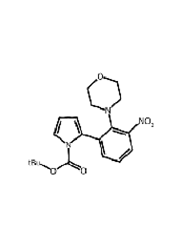 CC(C)(C)OC(=O)n1cccc1-c1cccc([N+](=O)[O-])c1N1CCOCC1